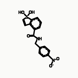 O=C(NCc1ccc([N+](=O)[O-])cc1)c1cccc2c1C=CS2(O)O